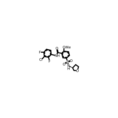 COc1ccc(S(=O)(=O)N[C@H]2CCOC2)cc1C(=O)Nc1ccc(F)c(Cl)c1F